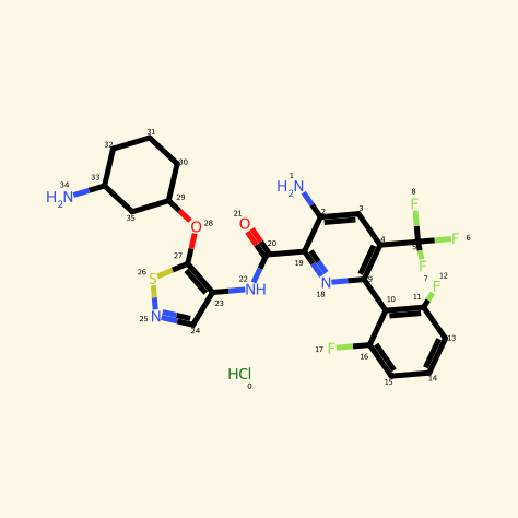 Cl.Nc1cc(C(F)(F)F)c(-c2c(F)cccc2F)nc1C(=O)Nc1cnsc1OC1CCCC(N)C1